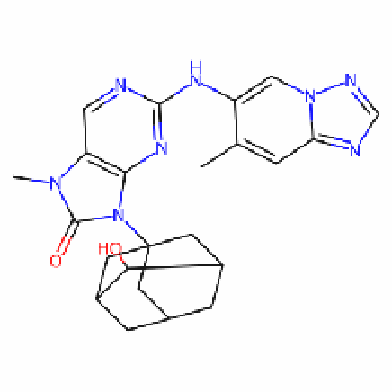 Cc1cc2ncnn2cc1Nc1ncc2c(n1)n(C13CC4CC(C1)C(O)C(C4)C3)c(=O)n2C